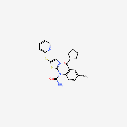 NC(=O)N(c1ncc(Sc2ccccn2)s1)c1ccc(C(F)(F)F)cc1C(=O)C1CCCC1